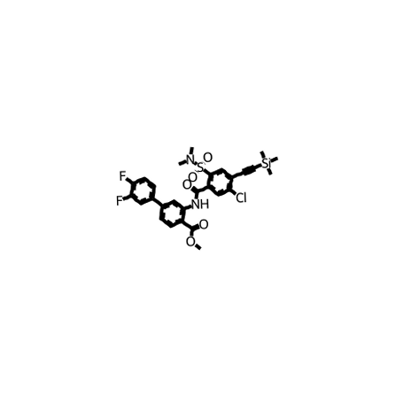 COC(=O)c1ccc(-c2ccc(F)c(F)c2)cc1NC(=O)c1cc(Cl)c(C#C[Si](C)(C)C)cc1S(=O)(=O)N(C)C